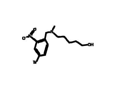 CN(CCCCCO)Cc1ccc(Br)cc1[N+](=O)[O-]